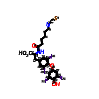 O=C(CCCCCN=C=S)NC(Cc1cc(I)c(Oc2cc(I)c(O)c(I)c2)c(I)c1)C(=O)O